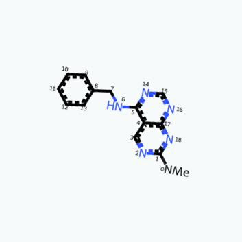 CNc1ncc2c(NCc3ccccc3)ncnc2n1